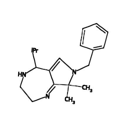 CC(C)C1NCCN=C2C1=CN(Cc1ccccc1)C2(C)C